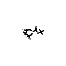 [2H]C1([2H])CN(C(=O)OC(C)(C)C)CC([2H])([2H])C1([2H])C